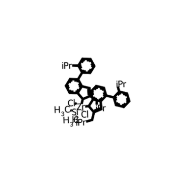 CC(C)CC1=Cc2c(-c3ccccc3C(C)C)cccc2[CH]1[Zr]([Cl])([Cl])([CH]1C(CC(C)C)=Cc2c(-c3ccccc3C(C)C)cccc21)[SiH](C)C